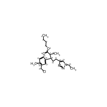 CCCCOC(=O)C(C)C(CCc1cn(CC)nn1)c1ccc(C)c(CCl)c1